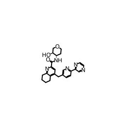 O=C(N[C@H]1CCOC[C@@H]1O)c1cc(Cc2ccc(-c3cnccn3)nc2)c2c(n1)CCCC2